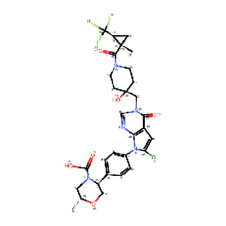 C[C@@H]1CN(C(=O)O)[C@@H](c2ccc(-n3c(Cl)cc4c(=O)n(CC5(O)CCN(C(=O)[C@@]6(C)C[C@@H]6C(F)(F)F)CC5)cnc43)cc2)CO1